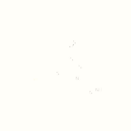 COc1ccc(C)c(N2CCc3nc(-c4c(C)ccc5[nH]nc(C)c45)nc(N4C[C@H](C)[C@@H](N(C)C)C4)c3C2)c1